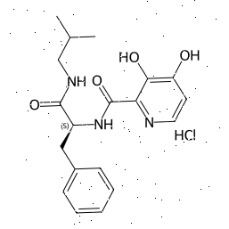 CC(C)CNC(=O)[C@H](Cc1ccccc1)NC(=O)c1nccc(O)c1O.Cl